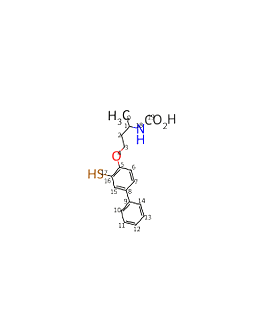 CC(CCOc1ccc(-c2ccccc2)cc1S)NC(=O)O